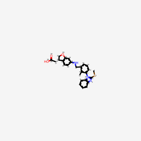 CSc1nc2ccccc2n1-c1cccc(CNc2ccc3c(c2)OC[C@H]3CC(=O)O)c1C